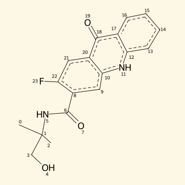 CC(C)(CO)NC(=O)c1cc2[nH]c3ccccc3c(=O)c2cc1F